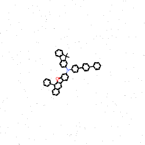 CC1(C)c2ccccc2-c2ccc(N(c3ccc(-c4ccc(-c5ccccc5)cc4)cc3)c3ccc4c(c3)oc3c(-c5ccccc5)c5ccccc5cc34)cc21